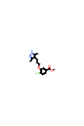 COC(=O)c1ccc(F)c(OCCCc2c(C)n[nH]c2C)c1